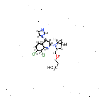 O=C(O)CCOC[C@@H]1C[C@H]2C[C@H]2N1c1cc(-n2ccnc2)c2ccc(Cl)c(Cl)c2n1